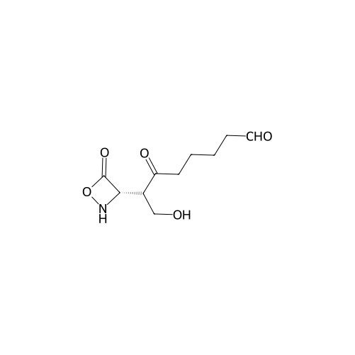 O=CCCCCC(=O)C(CO)[C@@H]1NOC1=O